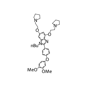 CCCCn1c(-c2ccc(Oc3ccc(OC)c(OC)c3)cc2)nc2c(OCCN3CCCC3)cc(OCCN3CCCC3)cc21